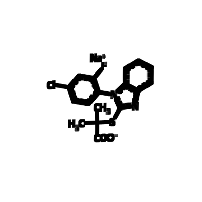 CC(C)(Sc1nc2ccccc2n1-c1ccc(Cl)cc1F)C(=O)[O-].[Na+]